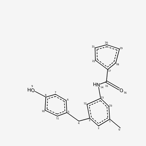 Cc1cc(Cc2ccc(O)cc2)cc(NC(=O)c2ccccc2)c1